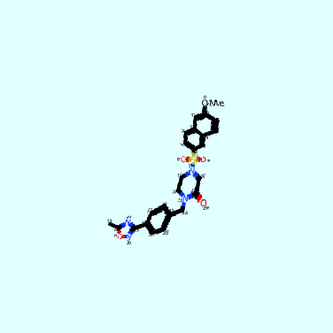 COc1ccc2cc(S(=O)(=O)N3CCN(Cc4ccc(-c5noc(C)n5)cc4)C(=O)C3)ccc2c1